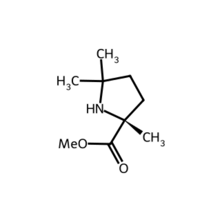 COC(=O)[C@@]1(C)CCC(C)(C)N1